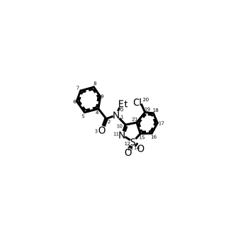 CCN(C(=O)c1ccccc1)C1=NS(=O)(=O)c2cccc(Cl)c21